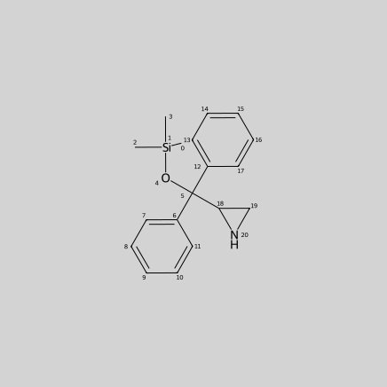 C[Si](C)(C)OC(c1ccccc1)(c1ccccc1)C1CN1